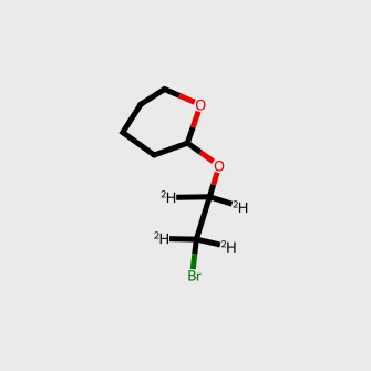 [2H]C([2H])(Br)C([2H])([2H])OC1CCCCO1